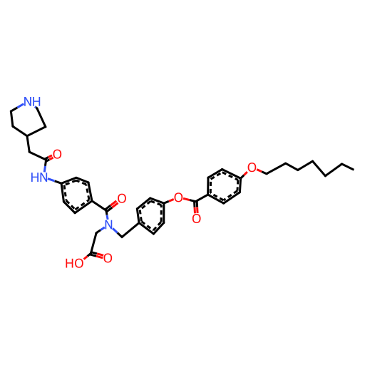 CCCCCCCOc1ccc(C(=O)Oc2ccc(CN(CC(=O)O)C(=O)c3ccc(NC(=O)CC4CCNCC4)cc3)cc2)cc1